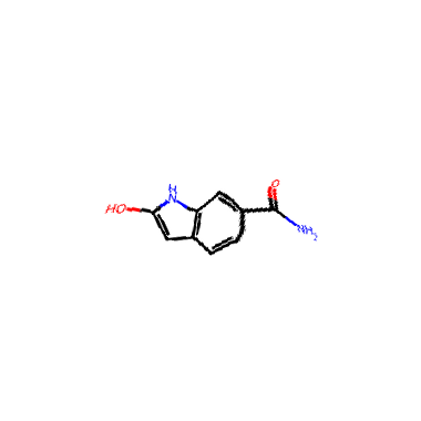 NC(=O)c1ccc2cc(O)[nH]c2c1